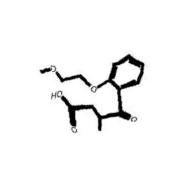 COCCOc1ccccc1C(=O)C(C)CC(=O)O